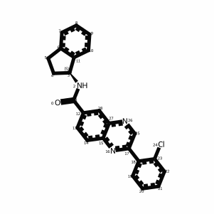 O=C(N[C@H]1CCc2ccccc21)c1ccc2nc(-c3ccccc3Cl)cnc2c1